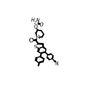 Cc1ccc(-c2cc3sc(C(=O)N4CCCC(OC(N)=O)C4)cc3cc2-c2ccc(C#N)cc2)cc1